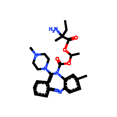 CCC(C)(N)C(=O)OC(C)OC(=O)N1C(N2CCN(C)CC2)=c2ccccc2=Nc2ccc(C)cc21